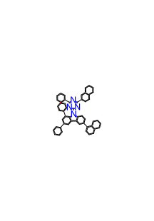 c1ccc(-c2cc(-c3ccccc3)c3c(c2)c2cc(-c4cccc5ccccc45)ccc2n3-c2nc(-c3ccccc3)nc(-c3ccc4ccccc4c3)n2)cc1